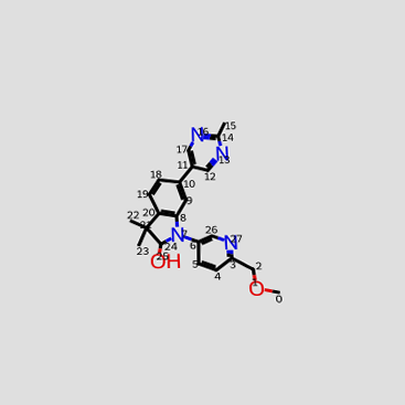 COCc1ccc(N2c3cc(-c4cnc(C)nc4)ccc3C(C)(C)C2O)cn1